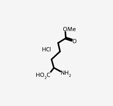 COC(=O)CCCC(N)C(=O)O.Cl